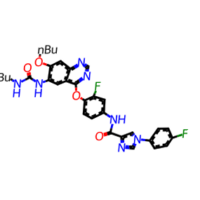 CCCCNC(=O)Nc1cc2c(Oc3ccc(NC(=O)c4cn(-c5ccc(F)cc5)cn4)cc3F)ncnc2cc1OCCCC